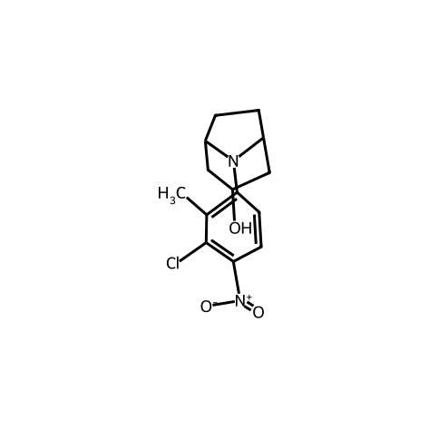 Cc1c(N2C3CCC2CC(O)C3)ccc([N+](=O)[O-])c1Cl